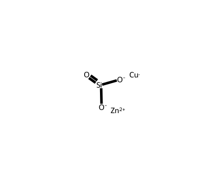 O=[Si]([O-])[O-].[Cu].[Zn+2]